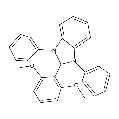 COc1cccc(OC)c1C1N(c2ccccc2)c2ccccc2N1c1ccccc1